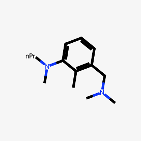 CCCN(C)c1cccc(CN(C)C)c1C